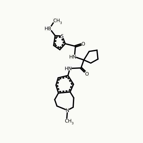 CBc1ccc(C(=O)NC2(C(=O)Nc3ccc4c(c3)CCN(C)CC4)CCCC2)s1